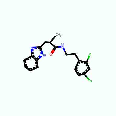 CC(Cc1nc2ccccc2[nH]1)C(=O)NCCc1ccc(Cl)cc1Cl